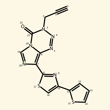 C#CCn1nnc2c(-c3nc(-c4cccs4)cs3)ncn2c1=O